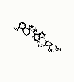 COc1cccc2c1CCCC2(N)Nc1ncnc2c1ncn2[C@@H]1O[C@H](CO)[C@@H](O)[C@H]1O